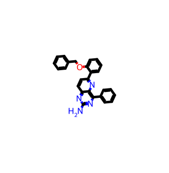 Nc1nc(-c2ccccc2)c2nc(-c3ccccc3OCc3ccccc3)ccc2n1